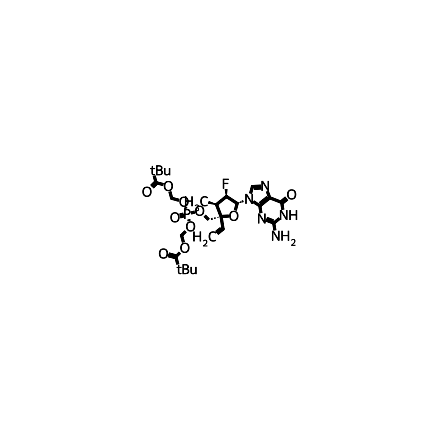 C=C[C@]1(COP(=O)(OCOC(=O)C(C)(C)C)OCOC(=O)C(C)(C)C)O[C@@H](n2cnc3c(=O)[nH]c(N)nc32)[C@H](F)[C@@H]1C